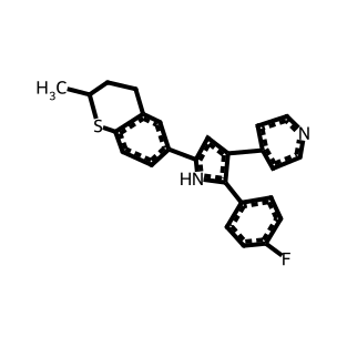 CC1CCc2cc(-c3cc(-c4ccncc4)c(-c4ccc(F)cc4)[nH]3)ccc2S1